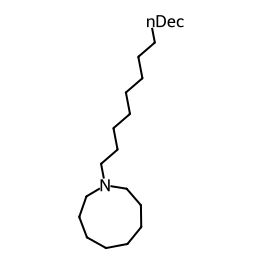 CCCCCCCCCCCCCCCCCCN1CCCCCCCC1